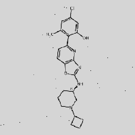 Cc1cc(Cl)cc(O)c1-c1ccc2oc(N[C@@H]3CCCN(C4CCC4)C3)nc2n1